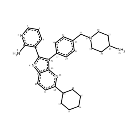 Nc1ncccc1-c1nc2ccc(C3CCCCC3)nc2n1-c1ccc(CN2CCC(N)CC2)cc1